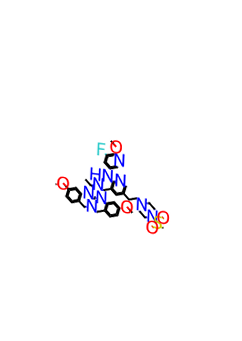 COc1ccc(CN(Cc2ccc(OC)cc2)c2nc(C)nc(-c3cc(CCN4CCN(S(C)(=O)=O)CC4)cnc3Nc3cnc(OC)c(F)c3)n2)cc1